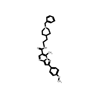 COc1ccc(-c2cc3ncc(C(=O)NCCC4CCN(Cc5ccccc5)CC4)c(C)n3n2)cc1